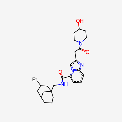 CCC1CC2CCCC(CNC(=O)c3cccc4nc(CC(=O)N5CCC(O)CC5)cn34)(C1)C2